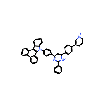 C1=CC(c2ccc(C3=CC(c4ccc(-n5c6ccccc6c6c7ccccc7c7ccccc7c65)cc4)=NC(c4ccccc4)N3)cc2)=CNC1